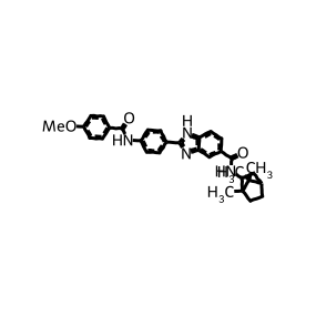 COc1ccc(C(=O)Nc2ccc(-c3nc4cc(C(=O)NC5CC6CCC5(C)C6(C)C)ccc4[nH]3)cc2)cc1